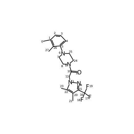 Cc1cccc(N2CCN(C(=O)Cn3nc(C(F)(F)F)c(C)c3C)CC2)c1C